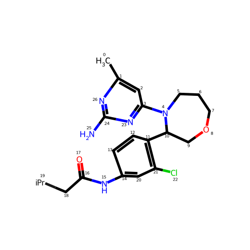 Cc1cc(N2CCCOCC2c2ccc(NC(=O)CC(C)C)cc2Cl)nc(N)n1